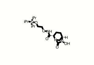 CC(C)[Si](OCCONC(=O)[C@@H]1CC[C@@H]2CN1C(=O)N2O)(C(C)C)C(C)C